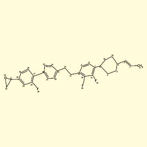 C/C=C/C1CCC(c2ccc(CCc3ccc(-c4ccc(C5CO5)cc4F)cc3)c(F)c2F)CC1